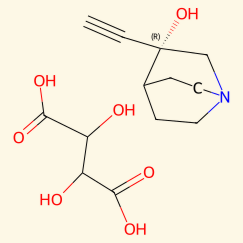 C#C[C@@]1(O)CN2CCC1CC2.O=C(O)C(O)C(O)C(=O)O